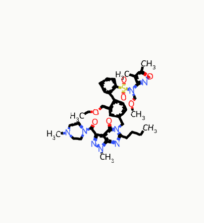 CCCCc1nc2c(c(C(=O)N3CCN(C)CC3)nn2C)c(=O)n1Cc1ccc(-c2ccccc2S(=O)(=O)N(COC)c2noc(C)c2C)c(COCC)c1